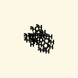 [2H]c1sc(C([2H])(Oc2c([2H])c([2H])c([2H])c3c([2H])c([2H])c([2H])c([2H])c23)C([2H])([2H])C([2H])([2H])NC([2H])([2H])[2H])c([2H])c1[2H]